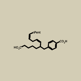 CCCCC/C=C\C/C=C\C(CCCCC(=O)O)Cc1ccc(C(=O)O)cc1